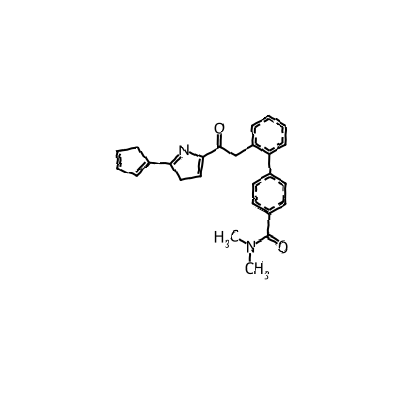 CN(C)C(=O)c1ccc(-c2ccccc2CC(=O)C2=CCC(C3=CC=CC3)=N2)cc1